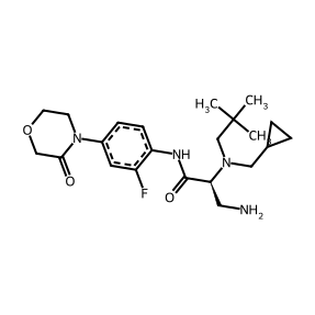 CC(C)(C)CN(CC1CC1)[C@@H](CN)C(=O)Nc1ccc(N2CCOCC2=O)cc1F